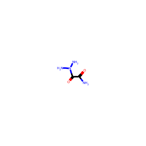 NC(=O)C(=O)N(N)N